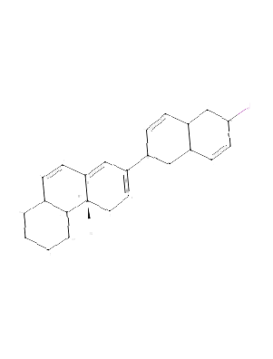 IC1C=CC2CC(C3=CC[C@H]4C(=C3)C=CC3CCCCC34)C=CC2C1